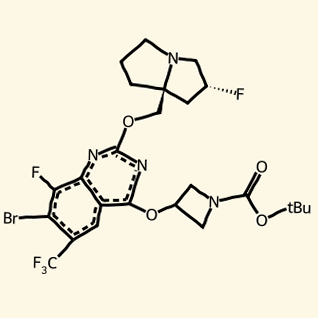 CC(C)(C)OC(=O)N1CC(Oc2nc(OC[C@@]34CCCN3C[C@H](F)C4)nc3c(F)c(Br)c(C(F)(F)F)cc23)C1